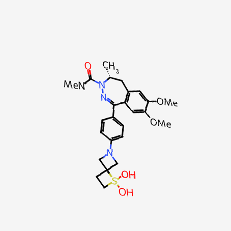 CNC(=O)N1N=C(c2ccc(N3CC4(CCS4(O)O)C3)cc2)c2cc(OC)c(OC)cc2C[C@H]1C